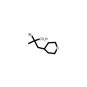 CC(Br)(CC1CCOCC1)C(=O)O